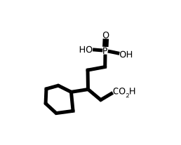 O=C(O)CC(CCP(=O)(O)O)C1CCCCC1